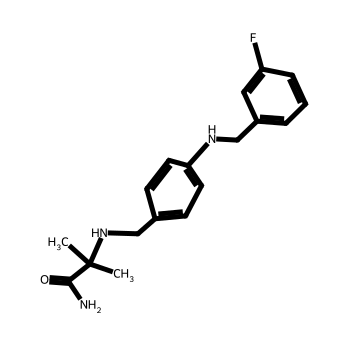 CC(C)(NCc1ccc(NCc2cccc(F)c2)cc1)C(N)=O